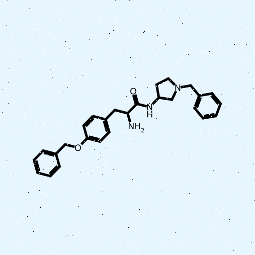 NC(Cc1ccc(OCc2ccccc2)cc1)C(=O)NC1CCN(Cc2ccccc2)C1